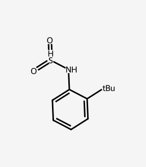 CC(C)(C)c1ccccc1N[SH](=O)=O